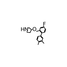 Cc1ccc(-c2ccc(F)cc2CO[C@H]2CCNC2)cc1C